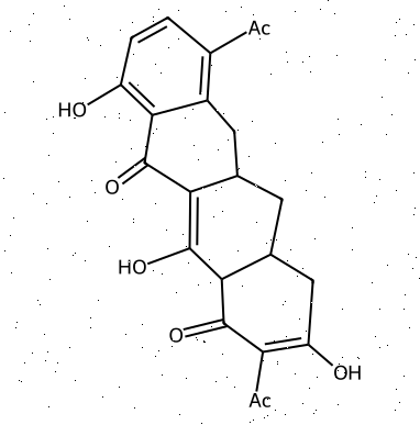 CC(=O)C1=C(O)CC2CC3Cc4c(C(C)=O)ccc(O)c4C(=O)C3=C(O)C2C1=O